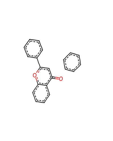 O=c1cc(-c2ccccc2)oc2ccccc12.c1ccccc1